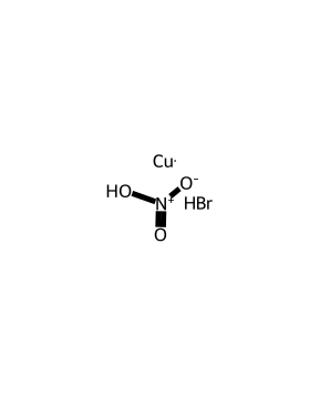 Br.O=[N+]([O-])O.[Cu]